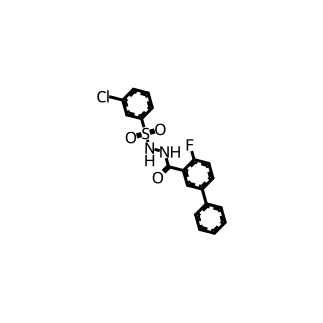 O=C(NNS(=O)(=O)c1cccc(Cl)c1)c1cc(-c2ccccc2)ccc1F